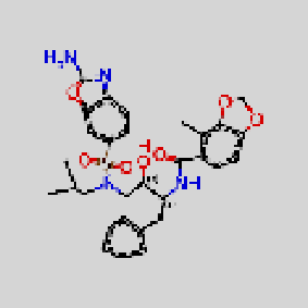 Cc1c(C(=O)N[C@@H](Cc2ccccc2)[C@H](O)CN(CC(C)C)S(=O)(=O)c2ccc3nc(N)oc3c2)ccc2c1OCO2